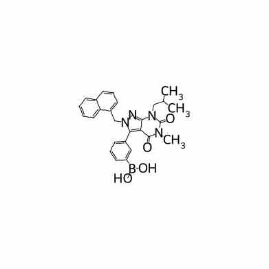 CC(C)Cn1c(=O)n(C)c(=O)c2c(-c3cccc(B(O)O)c3)n(Cc3cccc4ccccc34)nc21